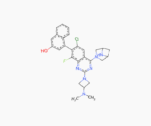 CN(C)C1CN(c2nc(N3CC4CC(C3)N4)c3cc(Cl)c(-c4cc(O)cc5ccccc45)c(F)c3n2)C1